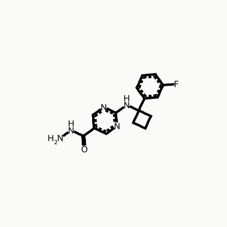 NNC(=O)c1cnc(NC2(c3cccc(F)c3)CCC2)nc1